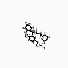 CCc1ccc2c(c1)C(NCCN1CCCCC1)c1ccccc1CO2